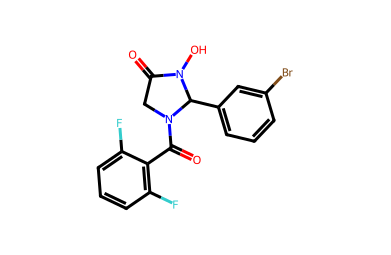 O=C1CN(C(=O)c2c(F)cccc2F)C(c2cccc(Br)c2)N1O